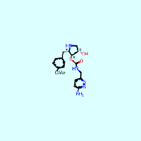 COc1ccc(C[C@H]2NC[C@H](O)[C@H]2OC(=O)NCc2ccc(N)nn2)cc1